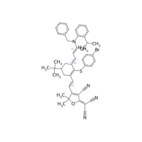 C/C(=C\C=C1/CC(C(C)(C)C)CC(/C=C/C2=C(C#N)C(=C(C#N)C#N)OC2(C)C)=C1Sc1ccc(Br)cc1)N(Cc1ccccc1)c1ccccc1C(C)C